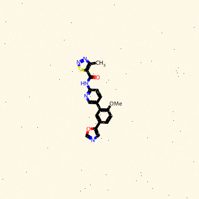 COc1ccc(-c2cnco2)cc1-c1ccc(NC(=O)c2snnc2C)nc1